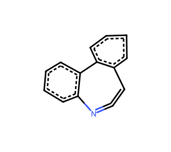 C1=Cc2ccccc2-c2ccccc2N=1